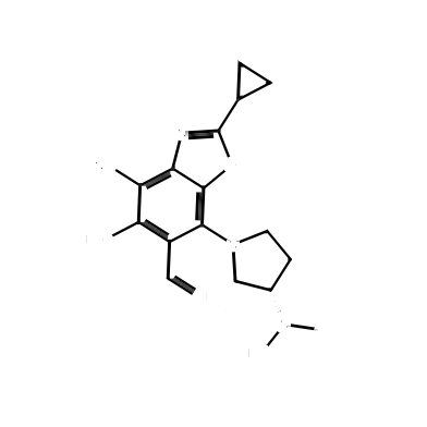 C=Cc1c(C)c(C#N)c2nc(C3CC3)oc2c1N1CC[C@H](N(C)C)C1